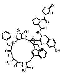 CC1NC(=O)C(Cc2ccccc2)NC(=O)C(C(C)C)NC(=O)C(CO)(NC(=O)C(Cc2ccc(O)cc2)NC(=O)C2CCCN2C(=O)C2CCC(=O)N2)n2cc(c3ccccc32)CC(C(=O)O)NC1=O